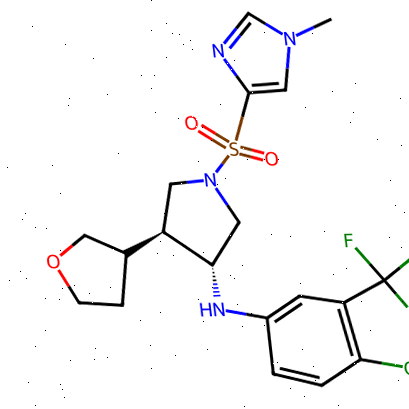 Cn1cnc(S(=O)(=O)N2C[C@H](Nc3ccc(Cl)c(C(F)(F)F)c3)[C@@H](C3CCOC3)C2)c1